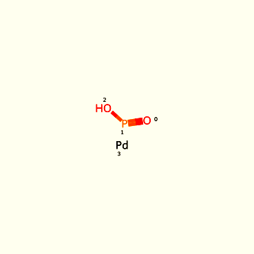 O=PO.[Pd]